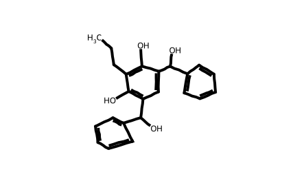 CCCc1c(O)c(C(O)c2ccccc2)cc(C(O)c2ccccc2)c1O